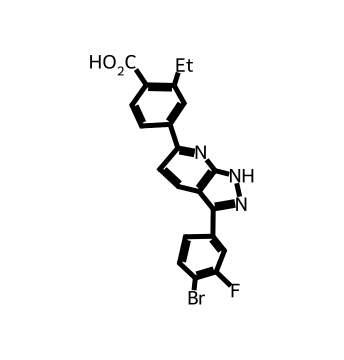 CCc1cc(-c2ccc3c(-c4ccc(Br)c(F)c4)n[nH]c3n2)ccc1C(=O)O